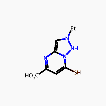 CCN1C=C2N=C(C(=O)O)C=C(S)N2N1